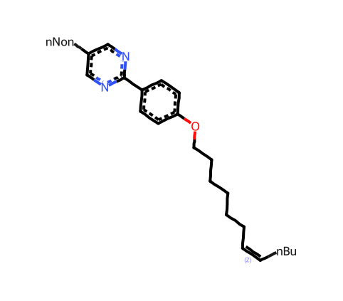 CCCC/C=C\CCCCCCOc1ccc(-c2ncc(CCCCCCCCC)cn2)cc1